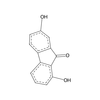 O=C1c2cc(O)ccc2-c2cccc(O)c21